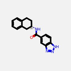 O=C(N[C@H]1CCc2ccccc2C1)c1ccc2[nH]nnc2c1